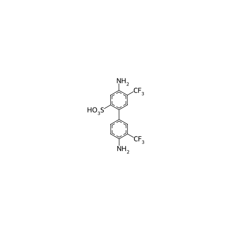 Nc1ccc(-c2cc(C(F)(F)F)c(N)cc2S(=O)(=O)O)cc1C(F)(F)F